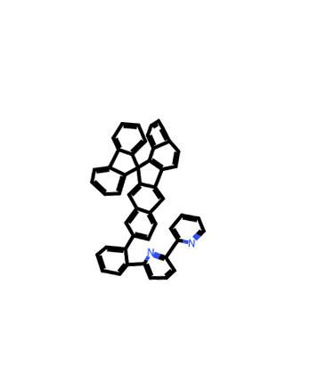 c1ccc(-c2cccc(-c3ccccc3-c3ccc4cc5c(cc4c3)C3(c4ccccc4-c4ccccc43)c3c-5ccc4ccccc34)n2)nc1